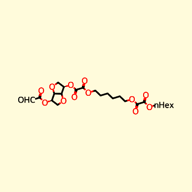 CCCCCCOC(=O)C(=O)OCCCCCCOC(=O)C(=O)O[C@@H]1COC2C1OC[C@H]2OC(=O)C=O